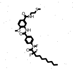 CCCCCCCCC(F)(F)C(=O)N(F)c1ccc(C(=O)Nc2cc(C(=O)NCCSC)ccc2OC)cc1